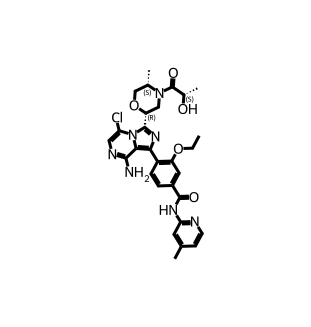 CCOc1cc(C(=O)Nc2cc(C)ccn2)ccc1-c1nc([C@H]2CN(C(=O)[C@H](C)O)[C@@H](C)CO2)n2c(Cl)cnc(N)c12